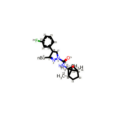 CCCCC1=NN(C(=O)N[C@H]2C[C@H]3CC[C@]2(C)C3(C)C)CC1c1cccc(F)c1